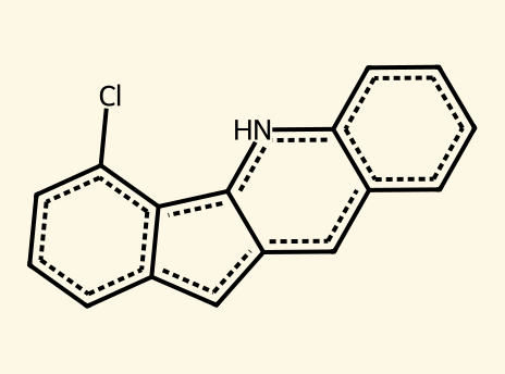 Clc1cccc2cc3cc4ccccc4[nH]c-3c12